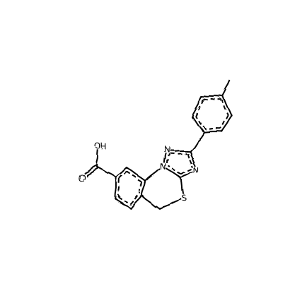 Cc1ccc(-c2nc3n(n2)-c2cc(C(=O)O)ccc2CS3)cc1